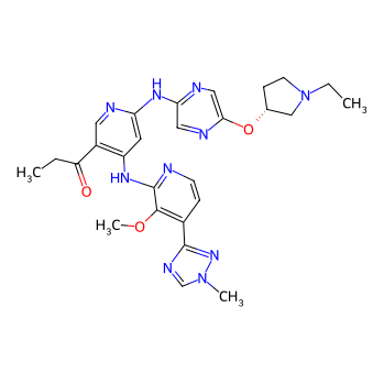 CCC(=O)c1cnc(Nc2cnc(O[C@@H]3CCN(CC)C3)cn2)cc1Nc1nccc(-c2ncn(C)n2)c1OC